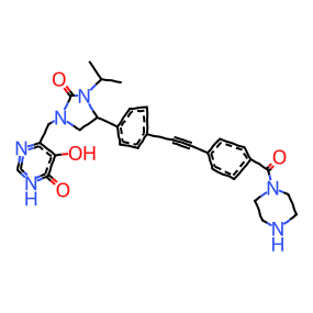 CC(C)N1C(=O)N(Cc2nc[nH]c(=O)c2O)CC1c1ccc(C#Cc2ccc(C(=O)N3CCNCC3)cc2)cc1